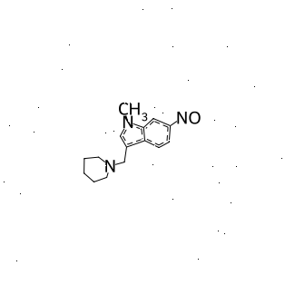 Cn1cc(CN2CCCCC2)c2ccc(N=O)cc21